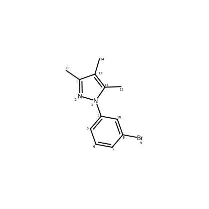 Cc1nn(-c2cccc(Br)c2)c(C)c1C